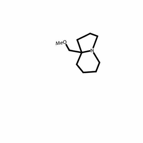 COCC12CCCCN1CCC2